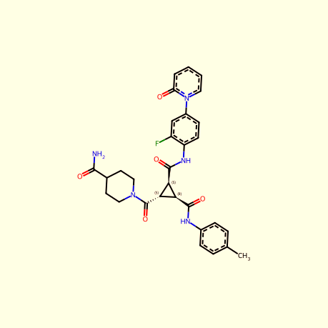 Cc1ccc(NC(=O)[C@@H]2[C@H](C(=O)Nc3ccc(-n4ccccc4=O)cc3F)[C@H]2C(=O)N2CCC(C(N)=O)CC2)cc1